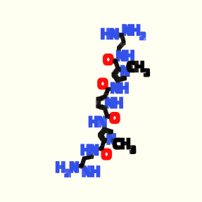 Cn1cc(NC(=O)c2ccc(C(=O)Nc3cc(C(=O)NCCC(=N)N)n(C)c3)[nH]2)cc1C(=O)NCCC(=N)N